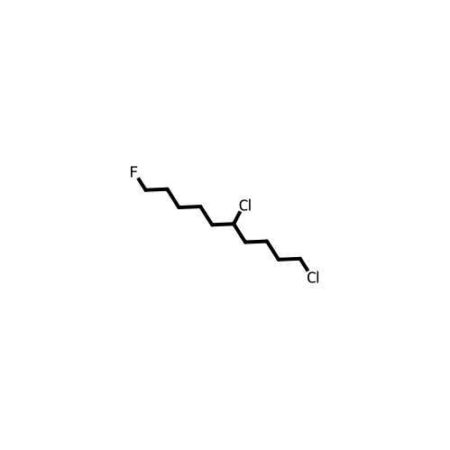 FCCCCCC(Cl)CCCCCl